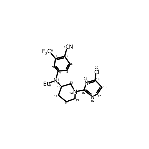 CCN(c1ccc(C#N)c(C(F)(F)F)c1)[C@@H]1CCCN(c2nccc(Cl)n2)C1